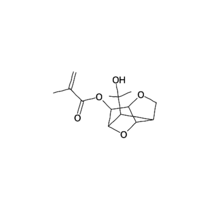 C=C(C)C(=O)OC1C2OCC3C2OC1C3C(C)(C)O